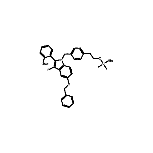 COc1ccccc1-c1c(F)c2cc(OCc3ccccc3)ccc2n1Cc1ccc(CCO[Si](C)(C)C(C)(C)C)cc1